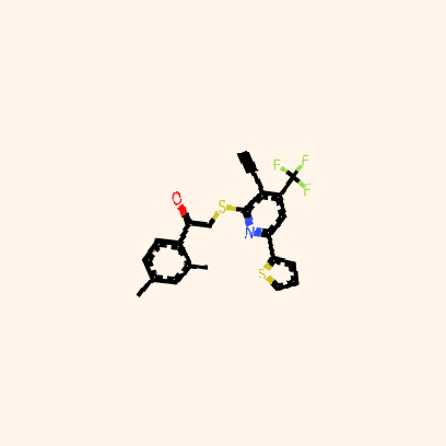 C#Cc1c(C(F)(F)F)cc(-c2cccs2)nc1SCC(=O)c1ccc(C)cc1C